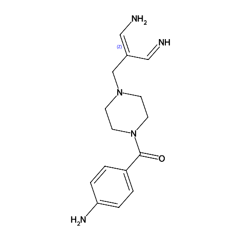 N=C/C(=C\N)CN1CCN(C(=O)c2ccc(N)cc2)CC1